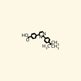 CC(C)(C)c1ccc(-c2nccc(-c3ccc(C(=O)O)cc3)n2)cc1